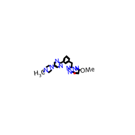 COc1ccc2nnc(Cc3cccc(-c4ncc(N5CCN(C)CC5)cn4)c3)n2n1